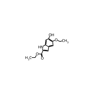 CCOC(=O)c1cc2cc(OCC)c(O)cc2[nH]1